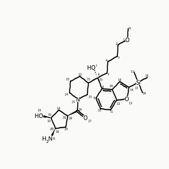 COCCCC[C@@](O)(c1cccc2oc([Si](C)(C)C)cc12)C1CCCN(C(=O)[C@H]2C[C@@H](N)[C@@H](O)C2)C1